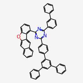 c1ccc(-c2cc(-c3ccccc3)cc(-c3ccc(-c4nc(-c5cccc(-c6ccccc6)c5)nc(-c5cccc6oc7cc8ccccc8cc7c56)n4)cc3)c2)cc1